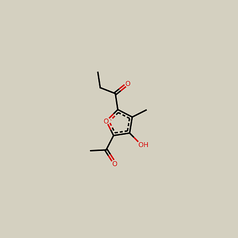 CCC(=O)c1oc(C(C)=O)c(O)c1C